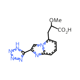 COC(Cc1cccc2nc(-c3nnn[nH]3)cn12)C(=O)O